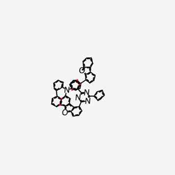 c1ccc(-c2nc(-c3ccccc3)nc(-c3cccc4oc5ccc(N(c6ccc(-c7cccc8c7oc7ccccc78)cc6)c6ccccc6-c6ccccc6)cc5c34)n2)cc1